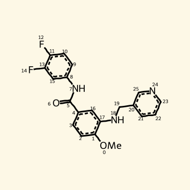 COc1ccc(C(=O)Nc2ccc(F)c(F)c2)cc1NCc1cccnc1